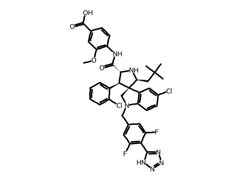 COc1cc(C(=O)O)ccc1NC(=O)[C@@H]1N[C@@H](CC(C)(C)C)[C@@]2(CN(Cc3cc(F)c(-c4nnn[nH]4)c(F)c3)c3ccc(Cl)cc32)[C@H]1c1ccccc1Cl